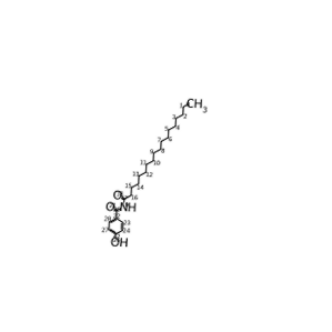 CCCCCCCCCCCCCCCCCC(=O)NC(=O)c1ccc(O)cc1